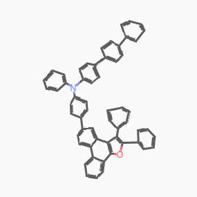 c1ccc(-c2ccc(-c3ccc(N(c4ccccc4)c4ccc(-c5ccc6c7ccccc7c7oc(-c8ccccc8)c(-c8ccccc8)c7c6c5)cc4)cc3)cc2)cc1